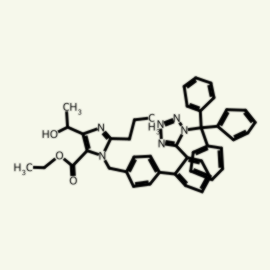 CCCc1nc(C(C)O)c(C(=O)OCC)n1Cc1ccc(-c2ccccc2-c2nnnn2C(c2ccccc2)(c2ccccc2)c2ccccc2)cc1